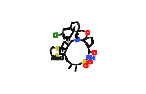 CO[C@]1(C2SCCCS2)/C=C/[C@H](C)[C@H](C)CS(=O)(=O)NC(=O)c2ccc3c(c2)N(C[C@@H]2CC[C@H]21)C[C@@]1(CCCC2=CC(Cl)=CCC21C)CO3